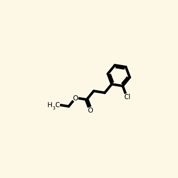 CCOC(=O)CCc1ccccc1Cl